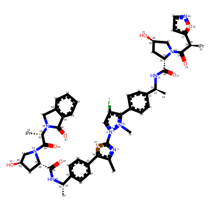 Cc1nc(-[n+]2cc(F)c(-c3ccc([C@H](C)NC(=O)[C@@H]4C[C@@H](O)CN4C(=O)[C@@H](c4ccno4)C(C)C)cc3)n2C)sc1-c1ccc([C@H](C)NC(=O)[C@@H]2C[C@@H](O)CN2C(=O)[C@H](C(C)C)N2Cc3ccccc3C2=O)cc1